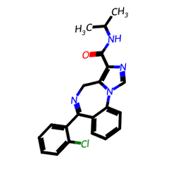 CC(C)NC(=O)c1ncn2c1CN=C(c1ccccc1Cl)c1ccccc1-2